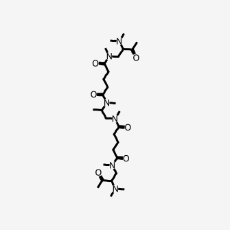 CC(=O)C(CN(C)C(=O)CCCC(=O)N(C)CC(C)N(C)C(=O)CCCC(=O)N(C)CC(C(C)=O)N(C)C)N(C)C